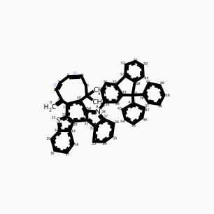 C=C1/C=C\C=C/CC(C)(C)c2c1c1sc3ccccc3c1c1c3ccccc3n(-c3ccc4c(c3)C(c3ccccc3)(c3ccccc3)c3ccccc3-4)c21